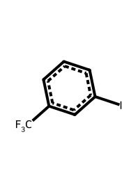 FC(F)(F)c1cccc(I)c1